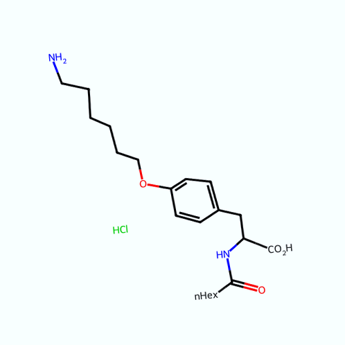 CCCCCCC(=O)NC(Cc1ccc(OCCCCCCN)cc1)C(=O)O.Cl